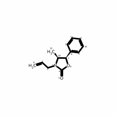 C=CCN1C(=O)O[C@H](c2ccccc2)[C@@H]1C